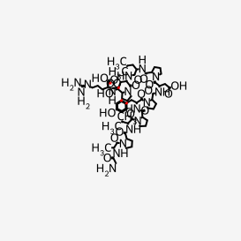 CC(C)CC(NC(=O)C1CCCN1C(=O)C(CC(=O)O)NC(=O)C1CCCN1C(=O)C(Cc1ccc(O)cc1)NC(=O)C1CCCN1C(=O)C(NC(=O)C1CCCN1C(=O)C(C)NC(=O)CN)C(C)C)C(=O)NC(CCC(=O)O)C(=O)N1CCCC1C(=O)NC(CCCN=C(N)N)C(=O)O